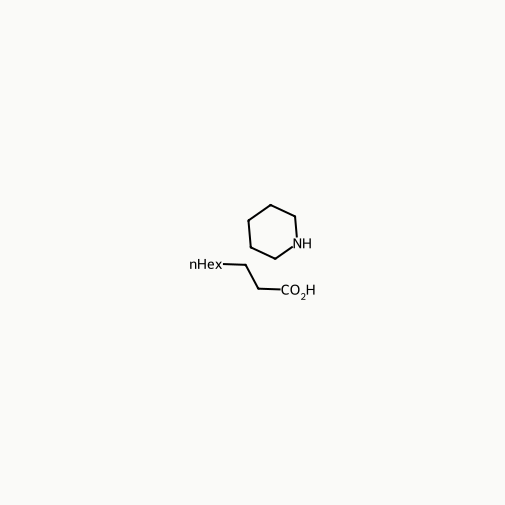 C1CCNCC1.CCCCCCCCC(=O)O